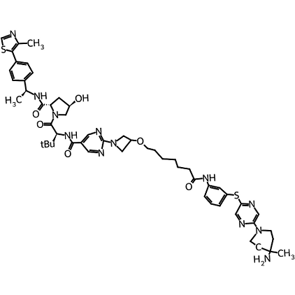 Cc1ncsc1-c1ccc([C@H](C)NC(=O)[C@@H]2C[C@@H](O)CN2C(=O)[C@@H](NC(=O)c2cnc(N3CC(OCCCCCCC(=O)Nc4cccc(Sc5cnc(N6CCC(C)(N)CC6)cn5)c4)C3)nc2)C(C)(C)C)cc1